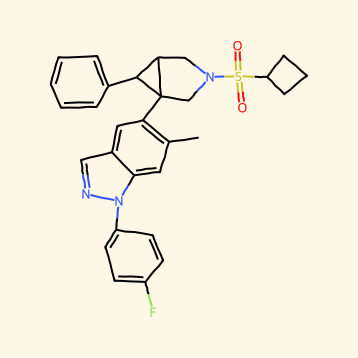 Cc1cc2c(cnn2-c2ccc(F)cc2)cc1C12CN(S(=O)(=O)C3CCC3)CC1C2c1ccccc1